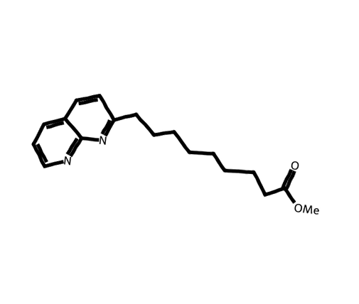 COC(=O)CCCCCCCCc1ccc2cccnc2n1